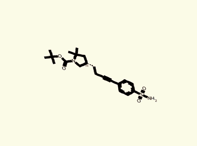 CC(C)(C)OC(=O)N1C[C@@H](CCC#Cc2ccc(S(N)(=O)=O)cc2)CC1(C)C